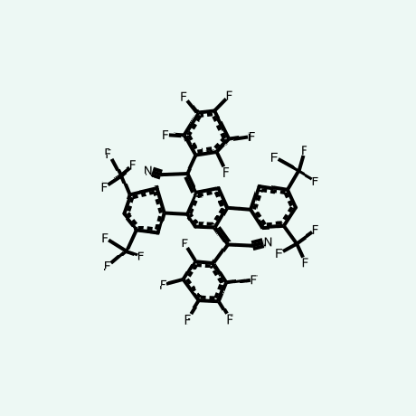 N#C/C(c1c(F)c(F)c(F)c(F)c1F)=c1/cc(-c2cc(C(F)(F)F)cc(C(F)(F)F)c2)/c(=C(\C#N)c2c(F)c(F)c(F)c(F)c2F)cc1-c1cc(C(F)(F)F)cc(C(F)(F)F)c1